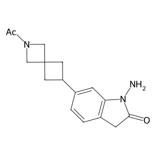 CC(=O)N1CC2(CC(c3ccc4c(c3)N(N)C(=O)C4)C2)C1